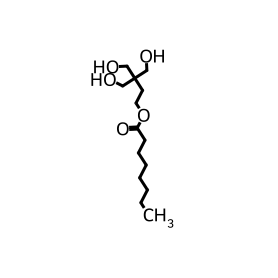 CCCCCCCC(=O)OCCC(CO)(CO)CO